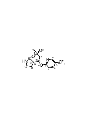 CS(=O)(=O)C[C@@H](Oc1ccc(C(F)(F)F)cn1)[C@H]1CCNC1